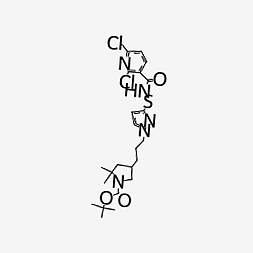 CC(C)(C)OC(=O)N1CC(CCCn2ccc(SNC(=O)c3ccc(Cl)nc3Cl)n2)CC1(C)C